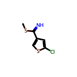 CSC(=N)c1csc(Cl)c1